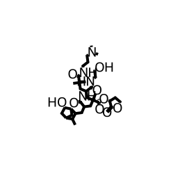 CC1C2CC(O)C(C2)C1CC(CC(C)(CC(CC(C)(C)C(=O)NCCCN(C)C)C(=O)NCCO)C(=O)OC1CCOC1=O)C(N)=O